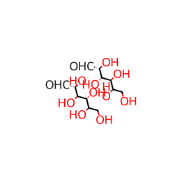 O=C[C@H](O)[C@@H](O)[C@@H](O)[C@H](O)CO.O=C[C@H](O)[C@H](O)[C@H](O)[C@H](O)CO